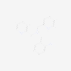 Nc1ccccc1CN(Cc1ccccn1)Cc1ccccn1